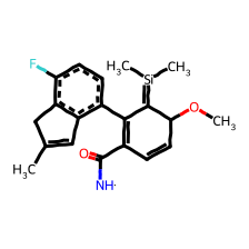 COC1C=CC(C([NH])=O)=C(c2ccc(F)c3c2C=C(C)C3)C1=[Si](C)C